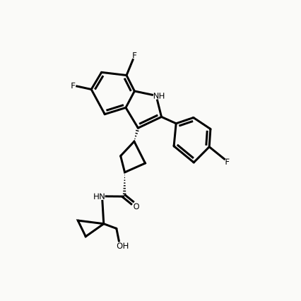 O=C(NC1(CO)CC1)[C@H]1C[C@@H](c2c(-c3ccc(F)cc3)[nH]c3c(F)cc(F)cc32)C1